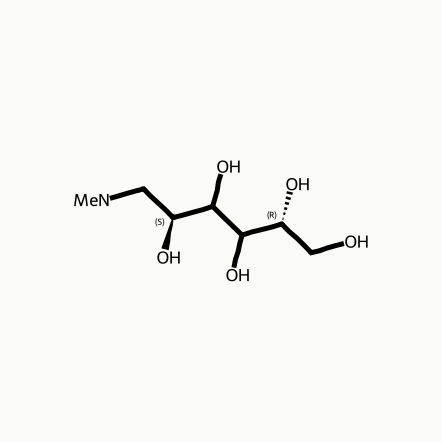 CNC[C@H](O)C(O)C(O)[C@H](O)CO